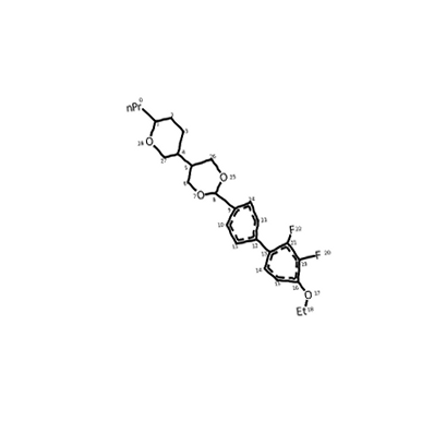 CCCC1CCC(C2COC(c3ccc(-c4ccc(OCC)c(F)c4F)cc3)OC2)CO1